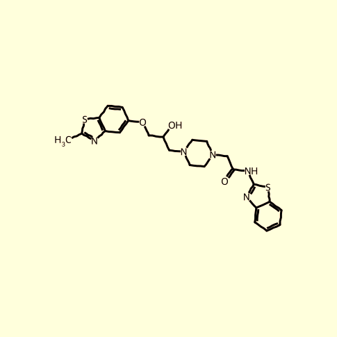 Cc1nc2cc(OCC(O)CN3CCN(CC(=O)Nc4nc5ccccc5s4)CC3)ccc2s1